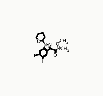 CON(C)C(=O)c1nn(C2CCCCO2)c2cc(I)c(I)cc12